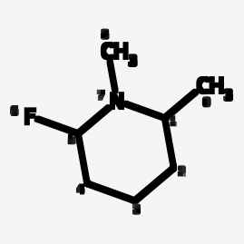 CC1CCCC(F)N1C